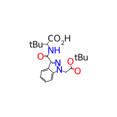 CC(C)(C)OC(=O)Cn1nc(C(=O)NC(C(=O)O)C(C)(C)C)c2ccccc21